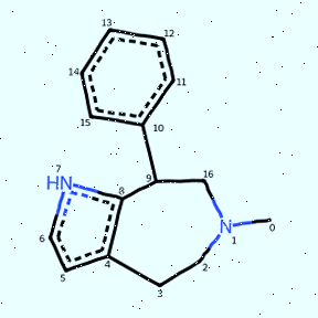 CN1CCc2cc[nH]c2C(c2ccccc2)C1